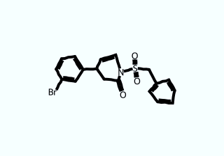 O=C1CC(c2cccc(Br)c2)C=CN1S(=O)(=O)Cc1ccccc1